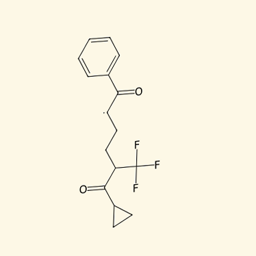 O=C([CH]CCC(C(=O)C1CC1)C(F)(F)F)c1ccccc1